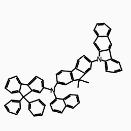 CC1(C)c2cc(N(c3ccc4c(c3)C(c3ccccc3)(c3ccccc3)c3ccccc3-4)c3cccc4ccccc34)ccc2-c2ccc(-n3c4ccccc4c4cc5ccccc5cc43)cc21